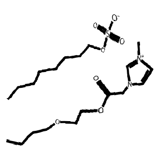 CCCCCCCCOS(=O)(=O)[O-].CCCCOCCOC(=O)Cn1cc[n+](C)c1